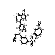 N#CCC(c1cccc(S(=O)(=O)Cc2ccc(C#N)cc2)c1)n1cc(-c2ncnc3[nH]ccc23)cn1